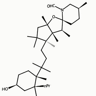 CCC[C@@]1(C)C[C@@H](O)CC[C@]1(C)C(C)(C)CC[C@@]1(C)C(C)(C)C[C@]2(C)O[C@@]3(CC[C@H](C)CN3C=O)[C@@H](C)[C@]12C